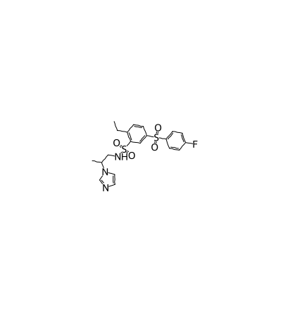 CCc1ccc(S(=O)(=O)c2ccc(F)cc2)cc1S(=O)(=O)NCC(C)n1ccnc1